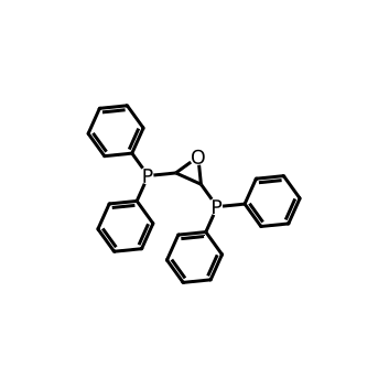 c1ccc(P(c2ccccc2)C2OC2P(c2ccccc2)c2ccccc2)cc1